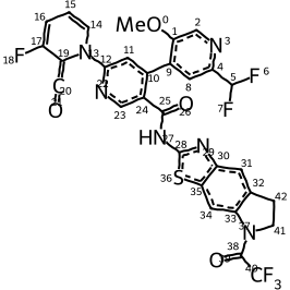 COc1cnc(C(F)F)cc1-c1cc(N2C=CC=C(F)C2=C=O)ncc1C(=O)Nc1nc2cc3c(cc2s1)N(C(=O)C(F)(F)F)CC3